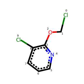 ClCOc1ncccc1Cl